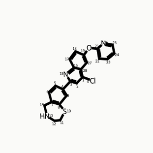 Clc1cc(-c2ccc3c(c2)SCCNC3)nc2ccc(Oc3ccccn3)cc12